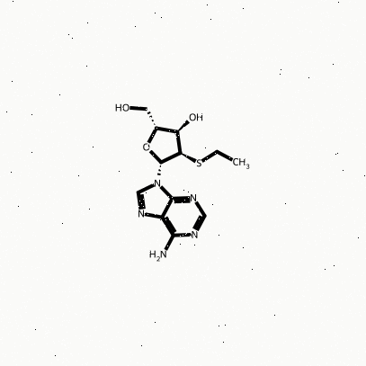 CCS[C@@H]1[C@H](O)[C@@H](CO)O[C@H]1n1cnc2c(N)ncnc21